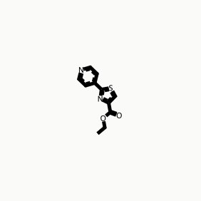 CCOC(=O)c1csc(-c2ccncc2)n1